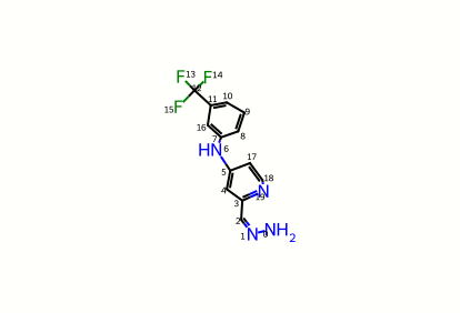 N/N=C\c1cc(Nc2cccc(C(F)(F)F)c2)ccn1